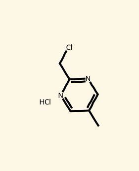 Cc1cnc(CCl)nc1.Cl